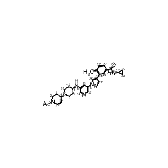 CC(=O)N1CCC(N2CCC(Nc3cncc(-n4cc(-c5cc(C(=O)NC6CC6)ccc5C)cn4)c3)CC2)CC1